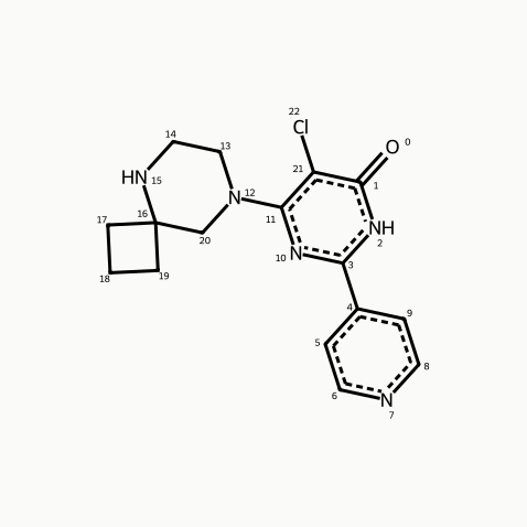 O=c1[nH]c(-c2ccncc2)nc(N2CCNC3(CCC3)C2)c1Cl